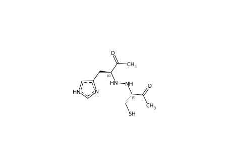 CC(=O)[C@H](CS)NN[C@@H](Cc1c[nH]cn1)C(C)=O